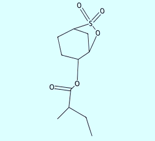 CCC(C)C(=O)OC1CCC2CC1OS2(=O)=O